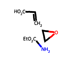 C1CO1.C=CC(=O)O.CCOC(N)=O